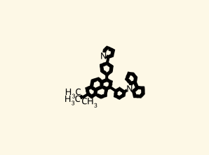 CC(C)(C)c1cc2ccc3c(-c4ccc(-c5ccccn5)cc4)cc(-c4cccc(-n5c6ccccc6c6ccccc65)c4)c4ccc(c1)c2c34